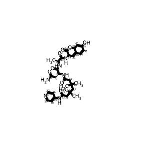 C[C@H](NC(=O)[C@@H](CC(N)=O)NC(=O)CC(C)(C)CC(C)(C)CC(=O)Nc1ccncc1)C(=O)NC1C=C2C=CC(O)=CC2OC1=O